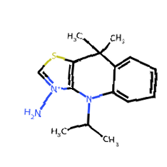 CC(C)N1c2ccccc2C(C)(C)c2sc[n+](N)c21